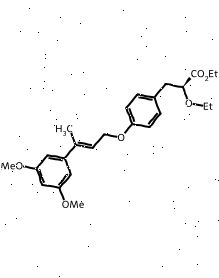 CCOC(=O)[C@H](Cc1ccc(OC/C=C(\C)c2cc(OC)cc(OC)c2)cc1)OCC